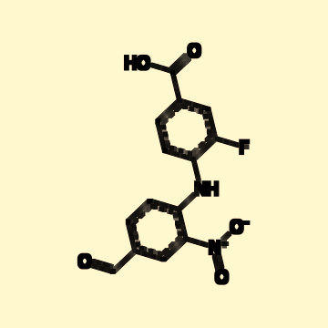 O=Cc1ccc(Nc2ccc(C(=O)O)cc2F)c([N+](=O)[O-])c1